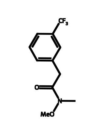 CON(C)C(=O)Cc1cccc(C(F)(F)F)c1